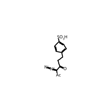 CC(=O)C(=[N+]=[N-])C(=O)CCc1ccc(S(=O)(=O)O)cc1